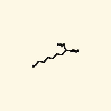 CCCCCCCC(CCCCCCC(C)C)C(=O)O